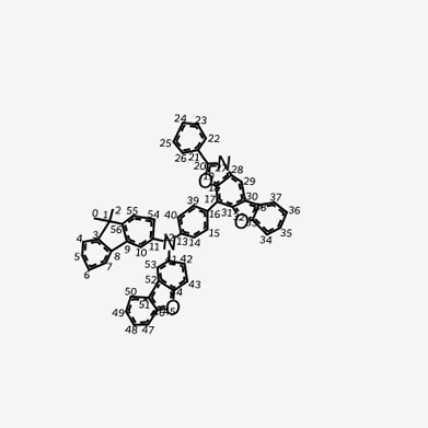 CC1(C)c2ccccc2-c2cc(N(c3ccc(-c4c5oc(-c6ccccc6)nc5cc5c4oc4ccccc45)cc3)c3ccc4oc5ccccc5c4c3)ccc21